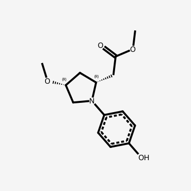 COC(=O)C[C@H]1C[C@@H](OC)CN1c1ccc(O)cc1